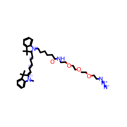 CN1/C(=C/C=C/C=C/C2=[N+](CCCCCC(=O)NCCOCCOCCOCCN=[N+]=[N-])c3ccccc3C2(C)C)C(C)(C)c2ccccc21